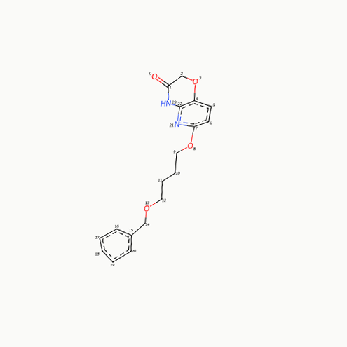 O=C1COc2ccc(OCCCCOCc3ccccc3)nc2N1